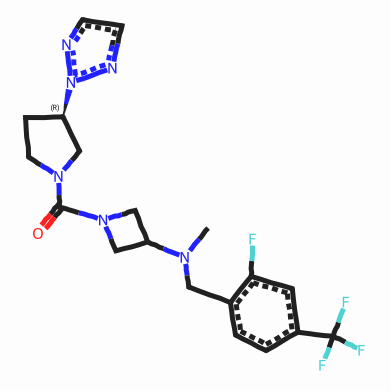 CN(Cc1ccc(C(F)(F)F)cc1F)C1CN(C(=O)N2CC[C@@H](n3nccn3)C2)C1